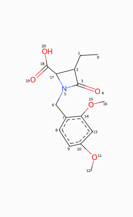 CCC1C(=O)N(Cc2ccc(OC)cc2OC)C1C(=O)O